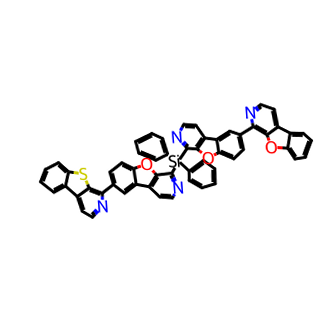 c1ccc([Si](c2ccccc2)(c2nccc3c2oc2ccc(-c4nccc5c4oc4ccccc45)cc23)c2nccc3c2oc2ccc(-c4nccc5c4sc4ccccc45)cc23)cc1